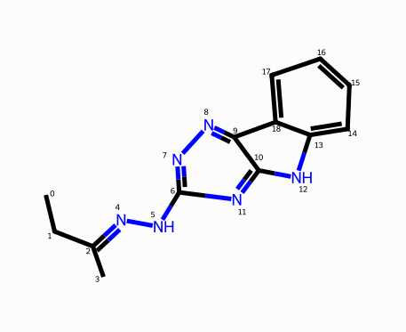 CC/C(C)=N/Nc1nnc2c(n1)[nH]c1ccccc12